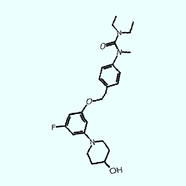 CCN(CC)C(=O)N(C)c1ccc(COc2cc(F)cc(N3CCC(O)CC3)c2)cc1